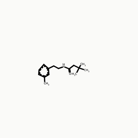 Cc1cccc(CCNC(=O)CC(C)(C)C)c1